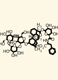 C=C1CC23CCC4[C@](C)(C(=O)OC5O[C@H](C(=O)N[C@H](Cc6ccccc6)C(=O)O)[C@@H](O)[C@H](O)[C@H]5O)CCC[C@@]4(C)[C@@H]2CC(O[C@@H]2O[C@H](CO)[C@@H](O)C(O[C@@H]4O[C@H](CO)[C@@H](O)[C@H](O)[C@H]4O)[C@H]2O[C@@H]2O[C@H](CO)[C@@H](O)[C@H](O)[C@H]2O)C1C3